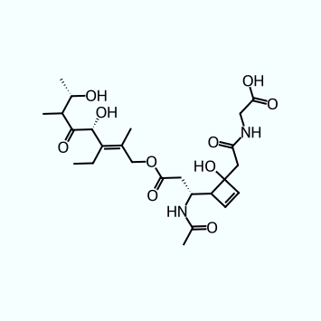 CC/C(=C(/C)COC(=O)C[C@@H](NC(C)=O)C1C=CC1(O)CC(=O)NCC(=O)O)[C@@H](O)C(=O)C(C)[C@H](C)O